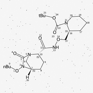 CCCCON1C(=O)N2C[C@@H]1CC[C@H]2C(=O)NOC[C@@H]1CCCCN1C(=O)OC(C)(C)C